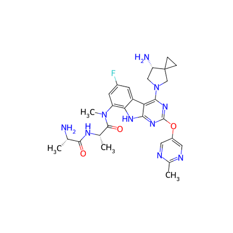 Cc1ncc(Oc2nc(N3C[C@H](N)C4(CC4)C3)c3c(n2)[nH]c2c(N(C)C(=O)[C@H](C)NC(=O)[C@H](C)N)cc(F)cc23)cn1